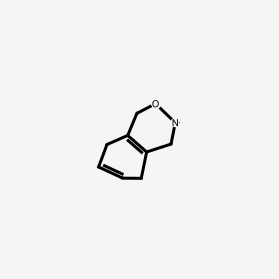 C1=CCC2=C(C1)C[N]OC2